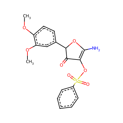 COc1ccc(C2OC(N)=C(OS(=O)(=O)c3ccccc3)C2=O)cc1OC